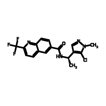 C[C@@H](NC(=O)c1ccc2nc(C(F)(F)F)ccc2c1)c1cnn(C)c1Cl